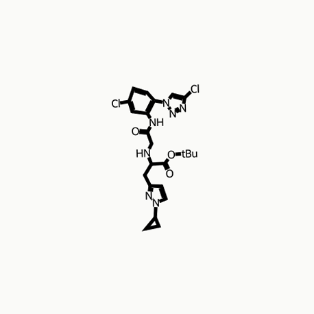 CC(C)(C)OC(=O)C(Cc1ccn(C2CC2)n1)NCC(=O)Nc1cc(Cl)ccc1-n1cc(Cl)nn1